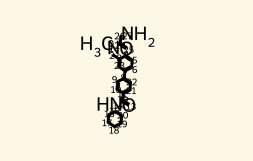 CN(Cc1cccc(-c2ccc(C(=O)NC3CCCCC3)cc2)c1)C(=O)CN